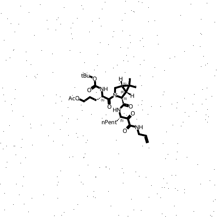 C=CCNC(=O)C(=O)[C@H](CCCCC)NC(=O)[C@@H]1[C@@H]2[C@H](CN1C(=O)[C@H](CCCOC(C)=O)NC(=O)OC(C)(C)C)C2(C)C